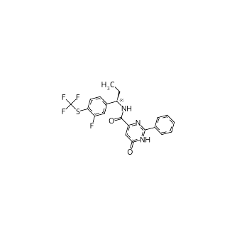 CC[C@@H](NC(=O)c1cc(=O)[nH]c(-c2ccccc2)n1)c1ccc(SC(F)(F)F)c(F)c1